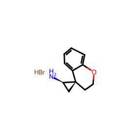 Br.N[C@@H]1C[C@@]12CCOc1ccccc12